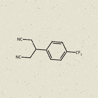 N#CCC(CC#N)c1ccc(C(F)(F)F)cc1